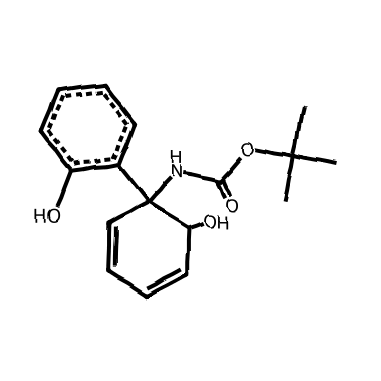 CC(C)(C)OC(=O)NC1(c2ccccc2O)C=CC=CC1O